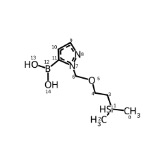 C[SiH](C)CCOCn1nccc1B(O)O